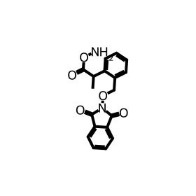 CC(C(=O)ON)c1ccccc1CON1C(=O)c2ccccc2C1=O